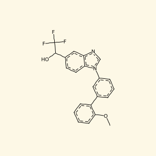 COc1ccccc1-c1cccc(-n2cnc3cc(C(O)C(F)(F)F)ccc32)c1